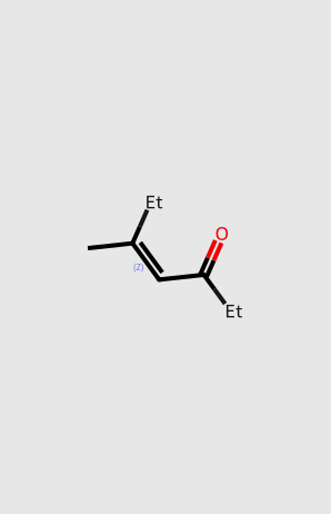 CCC(=O)/C=C(/C)CC